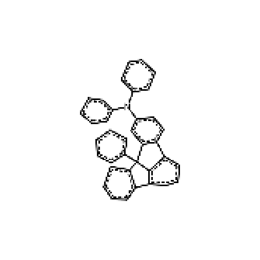 c1ccc(N(c2ccccc2)c2ccc3c(c2)C2(c4ccccc4)c4ccccc4-c4cccc-3c42)cc1